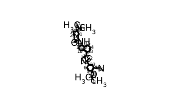 CC(C)Oc1ccc(-c2ncc(-c3cccc4c3CC[C@@H]4NC(=O)N3CC[C@@H](N(C)C)C3)s2)cc1C#N